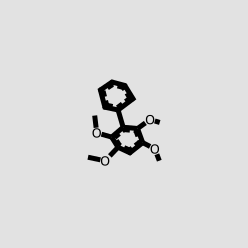 COc1cc(OC)c(OC)c(-c2ccccc2)c1OC